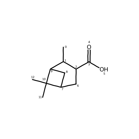 CC1C(C(=O)O)CC2CC1C2(C)C